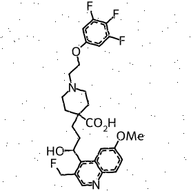 COc1ccc2ncc(CF)c([C@@H](O)CCC3(C(=O)O)CCN(CCOc4cc(F)c(F)c(F)c4)CC3)c2c1